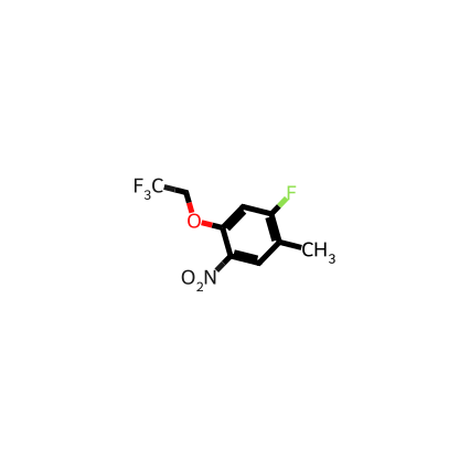 Cc1cc([N+](=O)[O-])c(OCC(F)(F)F)cc1F